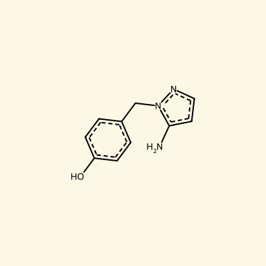 Nc1ccnn1Cc1ccc(O)cc1